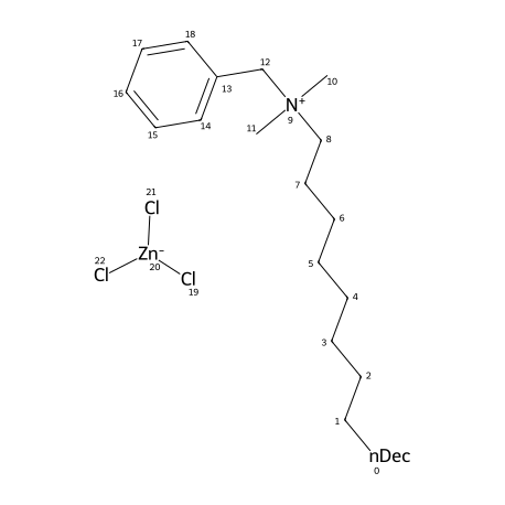 CCCCCCCCCCCCCCCCCC[N+](C)(C)Cc1ccccc1.[Cl][Zn-]([Cl])[Cl]